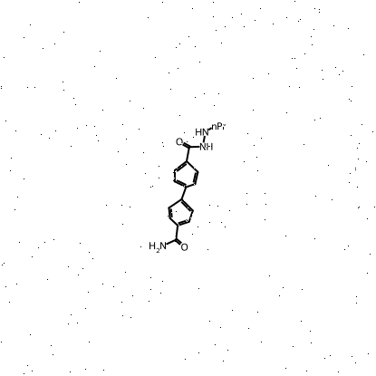 CCCNNC(=O)c1ccc(-c2ccc(C(N)=O)cc2)cc1